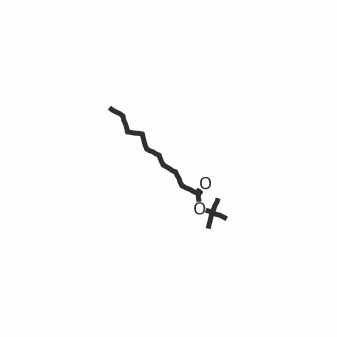 CCCCCCCCCC(=O)OC(C)(C)C